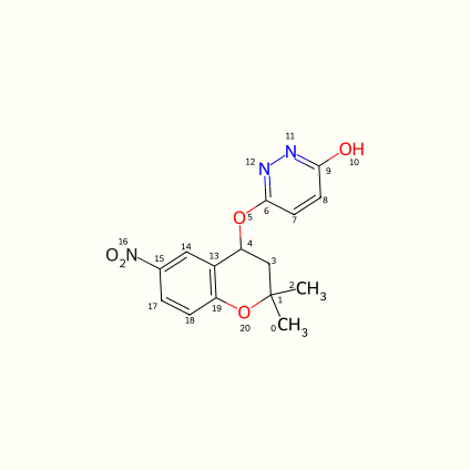 CC1(C)CC(Oc2ccc(O)nn2)c2cc([N+](=O)[O-])ccc2O1